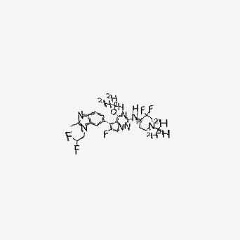 [2H]C([2H])([2H])Oc1nc(N[C@@H]2CCN(C([2H])([2H])[2H])CC2(F)F)nn2cc(F)c(-c3ccc4nc(C)n(CC(F)F)c4c3)c12